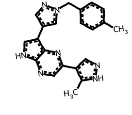 Cc1ccc(Cn2cc(-c3c[nH]c4ncc(-c5cn[nH]c5C)nc34)cn2)cc1